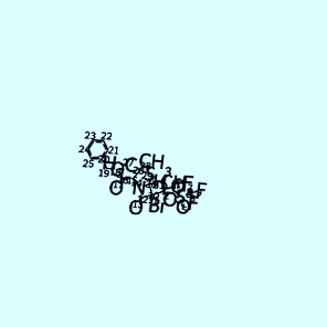 CC(OS(=O)(=O)C(F)(F)F)[C@]1(Br)C(=O)N2[C@@H](C(=O)OCc3ccccc3)C(C)(C)S[C@@H]21